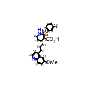 CCC1(Sc2cccc(F)c2)NCC[C@@H](CCCc2ccnc3ccc(OC)cc23)[C@@H]1C(=O)O